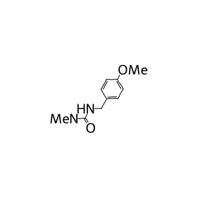 CNC(=O)NCc1ccc(OC)cc1